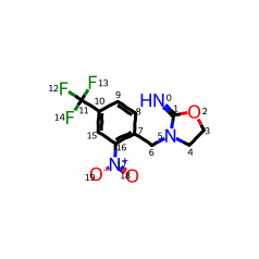 N=C1OCCN1Cc1ccc(C(F)(F)F)cc1[N+](=O)[O-]